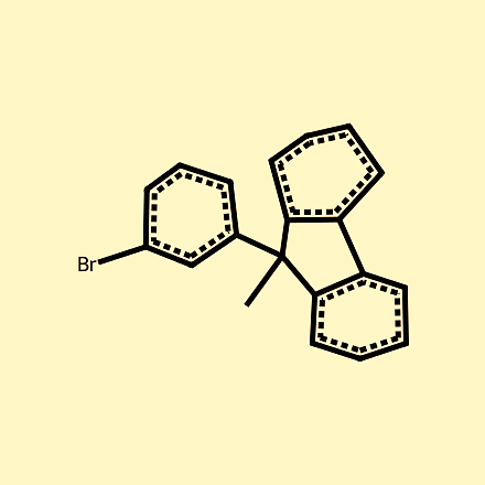 CC1(c2cccc(Br)c2)c2ccccc2-c2ccccc21